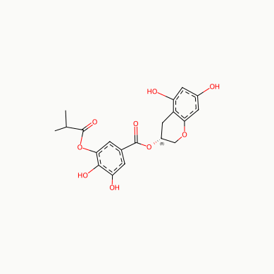 CC(C)C(=O)Oc1cc(C(=O)O[C@H]2COc3cc(O)cc(O)c3C2)cc(O)c1O